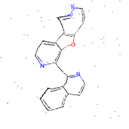 c1ccc2c(-c3nccc4c3oc3ccncc34)nccc2c1